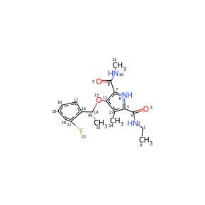 CCNC(=O)c1[nH]c(C(=O)NC)c(O[C@H](C)c2ccccc2F)c1C